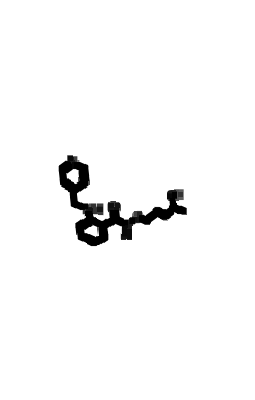 CC(O)C=CCONC(=O)c1ccccc1NCc1ccncc1